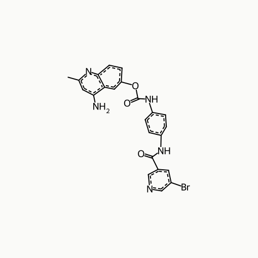 Cc1cc(N)c2cc(OC(=O)Nc3ccc(NC(=O)c4cncc(Br)c4)cc3)ccc2n1